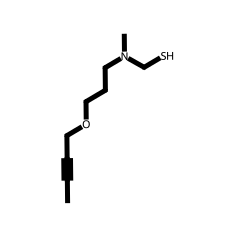 CC#CCOCCCN(C)CS